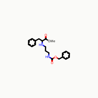 COC(=O)C(Cc1ccccc1)NCCCNC(=O)OCc1ccccc1